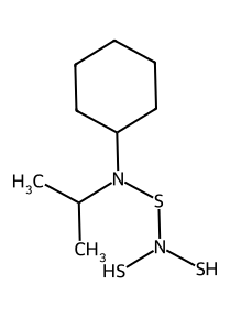 CC(C)N(SN(S)S)C1CCCCC1